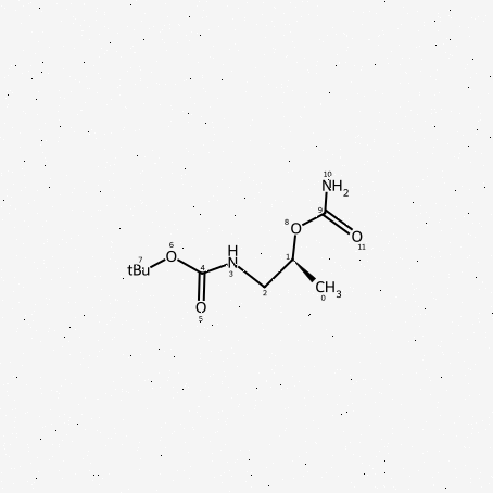 C[C@@H](CNC(=O)OC(C)(C)C)OC(N)=O